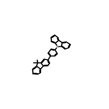 CC1(C)c2ccccc2-c2ccc(-c3ccc(-n4c5ccccc5c5ccccc54)cc3)cc21